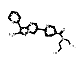 CCN(CCO)C(=O)c1ccc(-c2cnc3c(-c4ccccn4)c(N)nn3c2)nc1